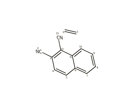 C=C.N#Cc1ccc2ccccc2c1C#N